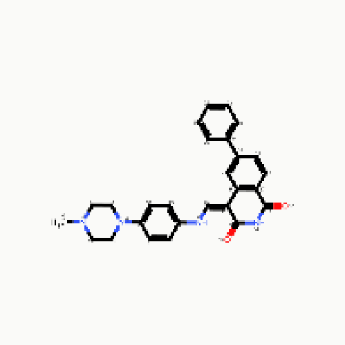 CN1CCN(c2ccc(N/C=C3\C(=O)NC(=O)c4ccc(-c5ccccc5)cc43)cc2)CC1